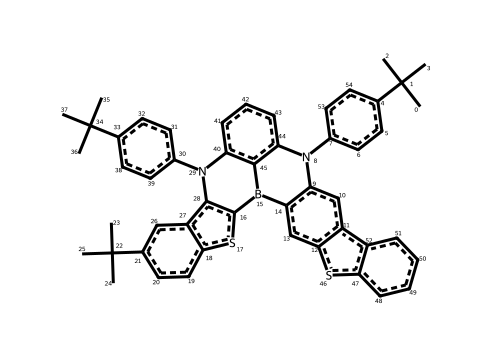 CC(C)(C)c1ccc(N2c3cc4c(cc3B3c5sc6ccc(C(C)(C)C)cc6c5N(c5ccc(C(C)(C)C)cc5)c5cccc2c53)sc2ccccc24)cc1